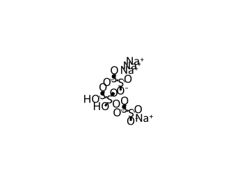 O=S(O)S(=O)(=O)O.O=S([O-])S(=O)[O-].O=S([O-])S(=O)[O-].[Na+].[Na+].[Na+].[Na+]